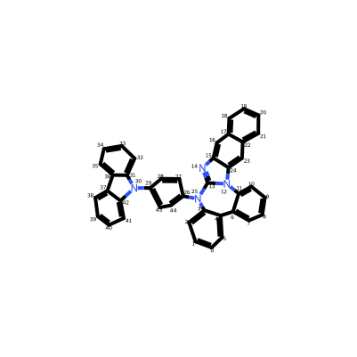 c1ccc2c(c1)-c1ccccc1-n1c(nc3cc4ccccc4cc31)N2c1ccc(-n2c3ccccc3c3ccccc32)cc1